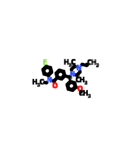 C=CCN1C[C@H](C)N([C@@H](c2cccc(OC)c2)c2cccc(C(=O)N(CC)c3ccc(F)cc3)c2)C[C@H]1C